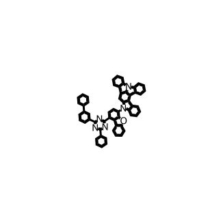 c1ccc(-c2cccc(-c3nc(-c4ccccc4)nc(-c4ccc(-n5c6ccccc6c6c7c8ccccc8n8c9ccccc9c(cc65)c78)c5oc6ccccc6c45)n3)c2)cc1